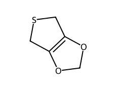 C1OC2=C(CSC2)O1